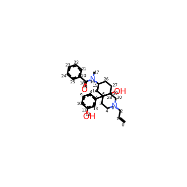 C=CCN1CCC2(c3cccc(O)c3)CC(N(C)C(=O)c3ccccc3)CCC2(O)C1